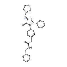 O=C(Cc1ccc(N2C(=O)/C(=C/c3ccccc3)N=C2c2ccccc2)cc1)NCc1ccccc1